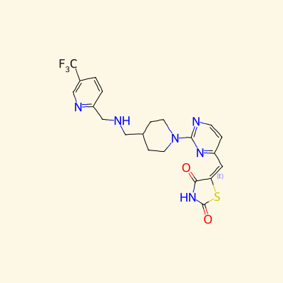 O=C1NC(=O)/C(=C\c2ccnc(N3CCC(CNCc4ccc(C(F)(F)F)cn4)CC3)n2)S1